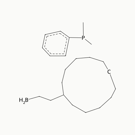 BCCC1CCCCCCCCCCC1.CP(C)c1ccccc1